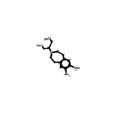 COCC(COC)N1CCc2cc(N)c(OC)cc2CC1